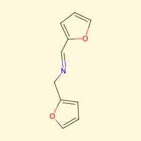 C(=NCc1ccco1)c1ccco1